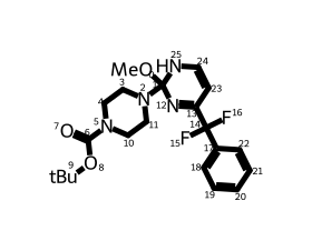 COC1(N2CCN(C(=O)OC(C)(C)C)CC2)N=C(C(F)(F)c2ccccc2)C=CN1